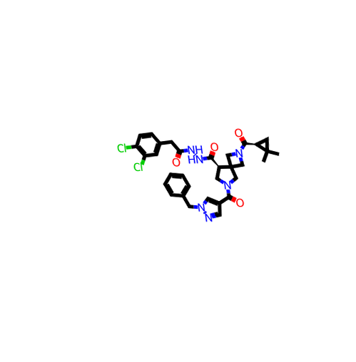 CC1(C)C[C@@H]1C(=O)N1CC2(CN(C(=O)c3cnn(Cc4ccccc4)c3)C[C@H]2C(=O)NNC(=O)Cc2ccc(Cl)c(Cl)c2)C1